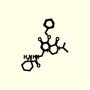 CC(C)N1CCn2c(CNC(=O)C3(N)CCCCC3)cc(=O)c(OCc3ccccc3)c2C1=O